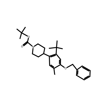 [CH2]c1cc(C2CCN(C(=O)OC(C)(C)C)CC2)c(C(C)(C)C)cc1OCc1ccccc1